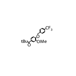 COc1cc(C(=O)C(C)(C)C)ccc1OCc1ccc(C(F)(F)F)cc1